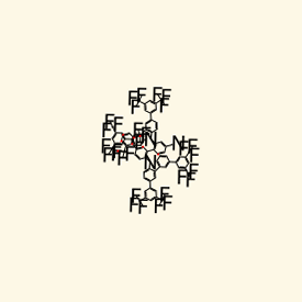 N#Cc1ccc(-c2cc(-c3c(C(F)(F)F)cccc3C(F)(F)F)ccc2-n2c3ccc(-c4cc(C(F)(F)F)cc(C(F)(F)F)c4)cc3c3cc(-c4cc(C(F)(F)F)cc(C(F)(F)F)c4)ccc32)c(-n2c3ccc(-c4cc(C(F)(F)F)cc(C(F)(F)F)c4)cc3c3cc(-c4cc(C(F)(F)F)cc(C(F)(F)F)c4)ccc32)c1